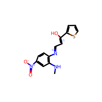 CNc1cc([N+](=O)[O-])ccc1/N=C/C=C(\O)c1cccs1